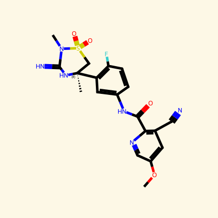 COc1cnc(C(=O)Nc2ccc(F)c([C@]3(C)CS(=O)(=O)N(C)C(=N)N3)c2)c(C#N)c1